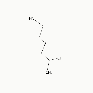 CC(C)CSCC[NH]